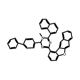 CN1C(c2cccc3ccccc23)=NC(c2cccc3oc4cc5ccccc5cc4c23)=NC1c1ccc(-c2ccccc2)cc1